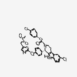 CS(=O)(=O)Cc1cnc(Oc2ccc([C@H]3c4[nH]c5ccc(Cl)cc5c4CCN3C(=O)Oc3ccc(Cl)cc3)cc2)s1